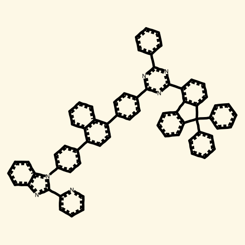 c1ccc(-c2nc(-c3ccc(-c4ccc(-c5ccc(-n6c(-c7ccccn7)nc7ccccc76)cc5)c5ccccc45)cc3)nc(-c3cccc4c3-c3ccccc3C4(c3ccccc3)c3ccccc3)n2)cc1